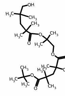 CC(C)(CO)CC(C)(C)C(=O)OC(C)(C)COC(=O)C(C)(C)CC(C)(C)C(=O)OC(C)(C)C